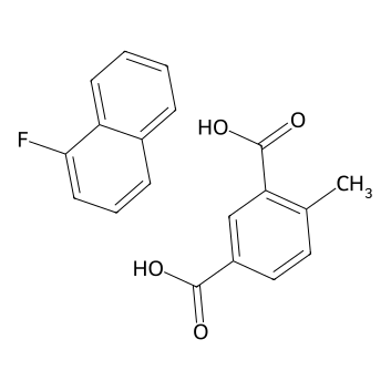 Cc1ccc(C(=O)O)cc1C(=O)O.Fc1cccc2ccccc12